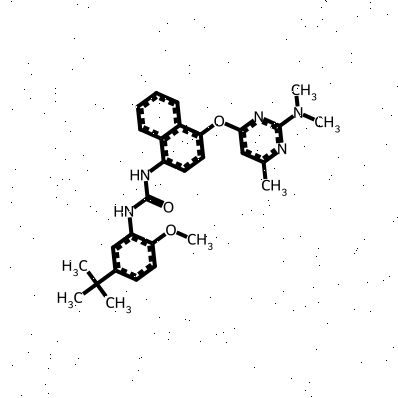 COc1ccc(C(C)(C)C)cc1NC(=O)Nc1ccc(Oc2cc(C)nc(N(C)C)n2)c2ccccc12